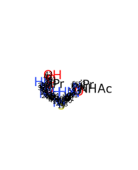 CC(=O)NC(C(=O)N1CCCC1c1ncc(-c2ccc(-c3csc4nc(-c5ccc(-c6cnc([C@@H]7CCCN7C(=O)[C@@H](NC(=O)CO)C(C)C)[nH]6)cc5)cn34)cc2)[nH]1)C(C)C